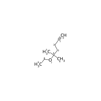 C#CCCC(C)(C)OCC